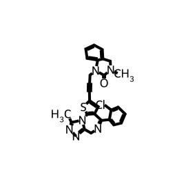 Cc1nnc2n1-c1sc(C#CCN3C(=O)N(C)Cc4ccccc43)cc1C(c1ccccc1Cl)=NC2